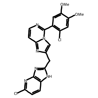 COc1cc(Cl)c(-c2nccc3nc(Cc4nc5nc(Cl)ccc5[nH]4)cn23)cc1OC